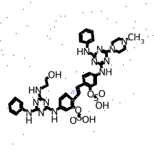 CN1CCN(c2nc(Nc3ccccc3)nc(Nc3ccc(/C=C/c4ccc(Nc5nc(NCCO)nc(Nc6ccccc6)n5)cc4OS(=O)O)c(OS(=O)O)c3)n2)CC1